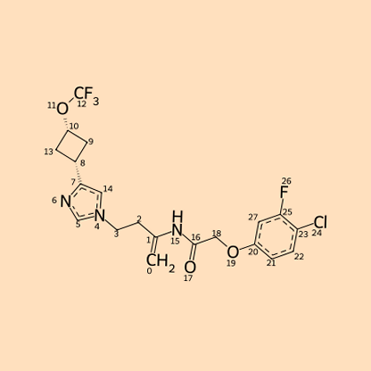 C=C(CCn1cnc([C@H]2C[C@@H](OC(F)(F)F)C2)c1)NC(=O)COc1ccc(Cl)c(F)c1